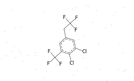 FC(F)(F)Cc1cc(Cl)c(Cl)c(C(F)(F)F)c1